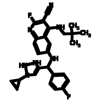 CC(C)(C)CNc1c(C#N)c(F)nc2ccc(NC(C3=CN(C4CC4)NN3)c3ccc(F)cc3)cc12